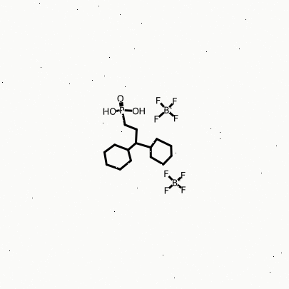 F[B-](F)(F)F.F[B-](F)(F)F.O=P(O)(O)CCC(C1CCCCC1)C1CCCCC1